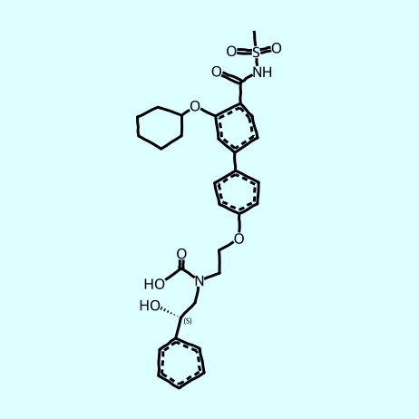 CS(=O)(=O)NC(=O)c1ccc(-c2ccc(OCCN(C[C@@H](O)c3ccccc3)C(=O)O)cc2)cc1OC1CCCCC1